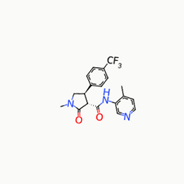 Cc1ccncc1NC(=O)[C@@H]1C(=O)N(C)C[C@H]1c1ccc(C(F)(F)F)cc1